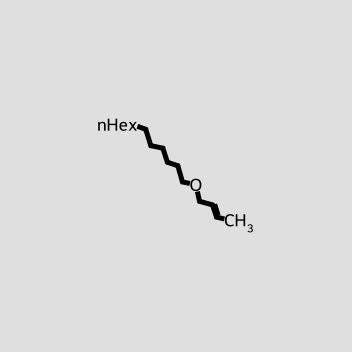 CC=CCOCCCCCCCCCCCC